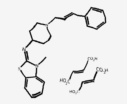 Cn1c(=NC2CCN(CC=Cc3ccccc3)CC2)sc2ccccc21.O=C(O)C=CC(=O)O.O=C(O)C=CC(=O)O